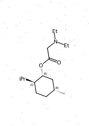 CCN(CC)CC(=O)O[C@@H]1C[C@H](C)CC[C@H]1C(C)C